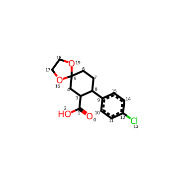 O=C(O)C1CC2(CCC1c1ccc(Cl)cc1)OCCO2